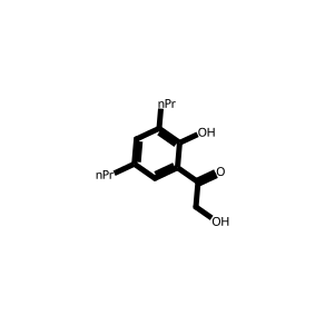 CCCc1cc(CCC)c(O)c(C(=O)CO)c1